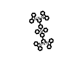 c1ccc([Si](c2ccccc2)(c2ccc(-c3cc(-n4c5ccccc5c5ccccc54)nc(-n4c5ccccc5c5ccccc54)c3)cc2)c2ccc(-c3cc(-n4c5ccccc5c5ccccc54)nc(-n4c5ccccc5c5ccccc54)c3)cc2)cc1